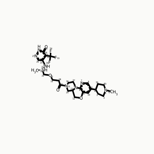 CN1CCC(c2cnc3c(c2)OCC2CN(C(=O)CCOC[Si@H](C)Nc4cn[nH]c(=O)c4C(F)(F)F)CCN32)CC1